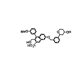 COc1cccc(-c2c(CO)c(C(=O)O)cc3cc(OCc4cccc(C5CC(O)CCO5)c4)ccc23)c1